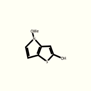 COn1ccc2sc(O)cc21